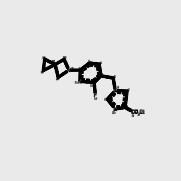 CCOC(=O)c1cn(Cc2ccc(N3CC4(CC4)C3)nc2F)cn1